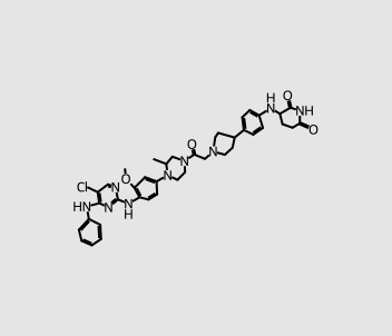 COc1cc(N2CCN(C(=O)CN3CCC(c4ccc(NC5CCC(=O)NC5=O)cc4)CC3)CC2C)ccc1Nc1ncc(Cl)c(Nc2ccccc2)n1